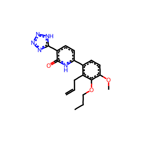 C=CCc1c(-c2ccc(-c3nnn[nH]3)c(=O)[nH]2)ccc(OC)c1OCCC